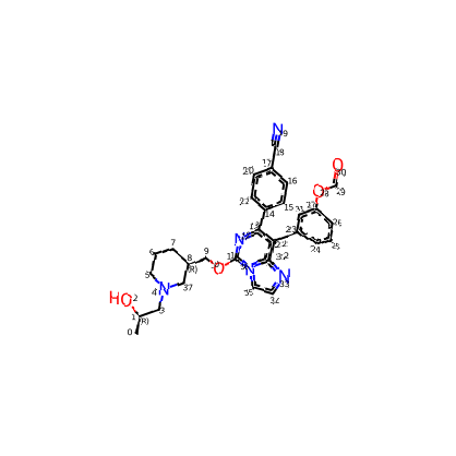 C[C@@H](O)CN1CCC[C@@H](COc2nc(-c3ccc(C#N)cc3)c(-c3cccc(OC=O)c3)c3nccn23)C1